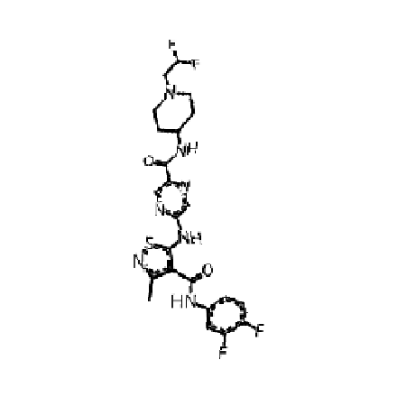 Cc1nsc(Nc2cnc(C(=O)NC3CCN(CC(F)F)CC3)cn2)c1C(=O)Nc1ccc(F)c(F)c1